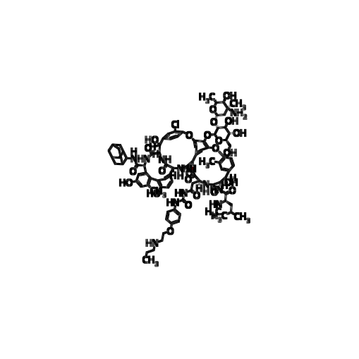 CCCNCCOc1ccc(NC(=O)NC(=O)C[C@@H]2NC(=O)[C@H](NC(=O)[C@@H](CC(C)C)NC)[C@H](O)c3ccc(c(C)c3)Oc3cc4cc(c3O[C@@H]3O[C@H](CO)[C@@H](O)[C@H](O)[C@H]3O[C@H]3C[C@](C)(N)[C@H](O)[C@H](C)O3)Oc3ccc(cc3Cl)[C@@H](O)[C@@H]3NC(=O)[C@H](NC(=O)[C@@H]4NC2=O)c2ccc(O)c(c2)-c2c(C)cc(O)cc2[C@@H](C(=O)NC2C4CC5CC(C4)CC2C5)NC3=O)cc1